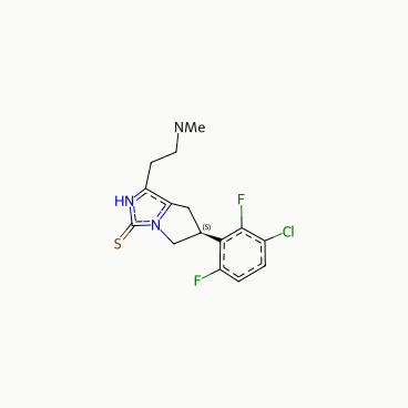 CNCCc1[nH]c(=S)n2c1C[C@@H](c1c(F)ccc(Cl)c1F)C2